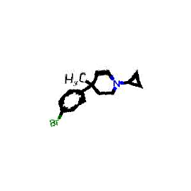 CC1(c2ccc(Br)cc2)CCN(C2CC2)CC1